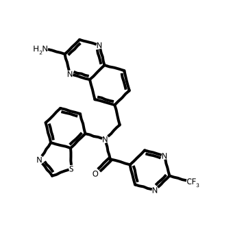 Nc1cnc2ccc(CN(C(=O)c3cnc(C(F)(F)F)nc3)c3cccc4ncsc34)cc2n1